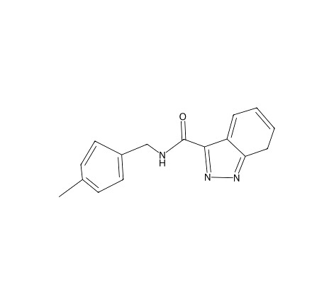 Cc1ccc(CNC(=O)C2=NN=C3CC=CC=C32)cc1